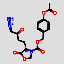 CC(=O)Oc1ccc(COC(=O)N2COC(=O)[C@@H]2CCC(=O)C=[N+]=N)cc1